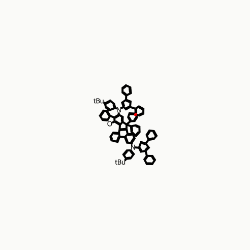 CC(C)(C)c1ccc(N(c2cc(-c3ccccc3)cc(-c3ccccc3)c2)c2ccc3c4c(c5ccccc5c3c2)-c2c(cc(N(c3ccc(C(C)(C)C)cc3)c3cc(-c5ccccc5)cc(-c5ccccc5)c3)c3c2oc2ccccc23)C4(c2ccccc2)c2ccccc2)cc1